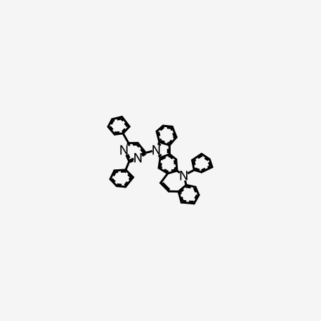 C1=Cc2cc3c(cc2N(c2ccccc2)c2ccccc21)c1ccccc1n3-c1cc(-c2ccccc2)nc(-c2ccccc2)n1